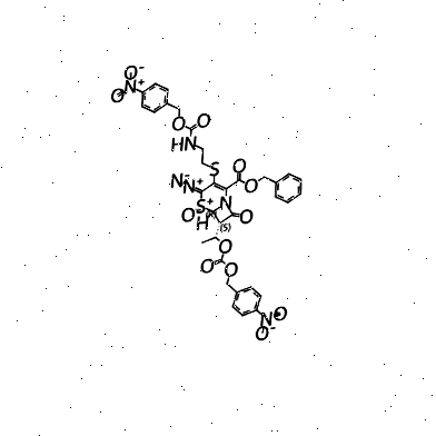 CC(OC(=O)OCc1ccc([N+](=O)[O-])cc1)[C@H]1C(=O)N2C(C(=O)OCc3ccccc3)=C(SCCNC(=O)OCc3ccc([N+](=O)[O-])cc3)C(=[N+]=[N-])[S+]([O-])[C@H]12